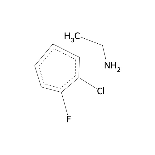 CCN.Fc1ccccc1Cl